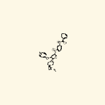 CN1CCN(c2ncc([S+]([O-])c3cccc(NC(=O)c4ccccc4)c3)cc2Oc2ccncc2)CC1